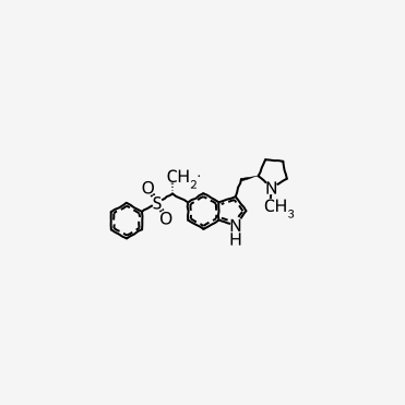 [CH2][C@H](c1ccc2[nH]cc(C[C@H]3CCCN3C)c2c1)S(=O)(=O)c1ccccc1